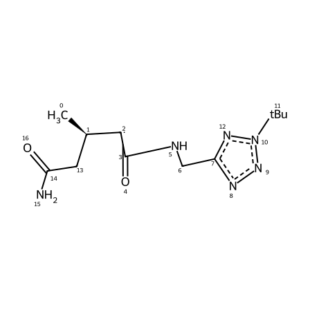 C[C@@H]([CH]C(=O)NCc1nnn(C(C)(C)C)n1)CC(N)=O